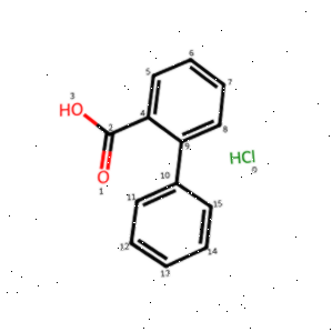 Cl.O=C(O)c1ccccc1-c1ccccc1